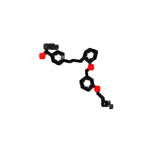 C=CCOc1cccc(COc2ccccc2CCCc2ccc(C(=O)OC)cc2)c1